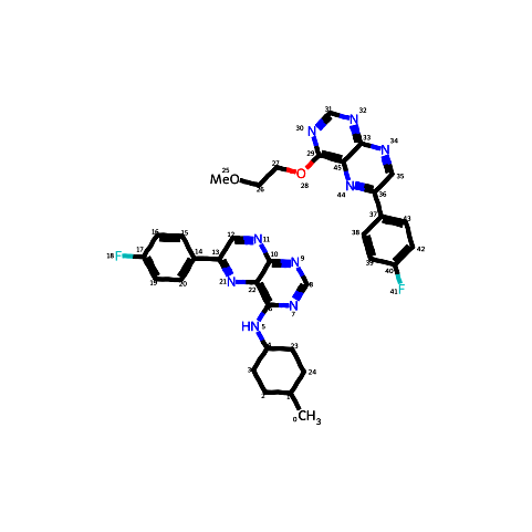 CC1CCC(Nc2ncnc3ncc(-c4ccc(F)cc4)nc23)CC1.COCCOc1ncnc2ncc(-c3ccc(F)cc3)nc12